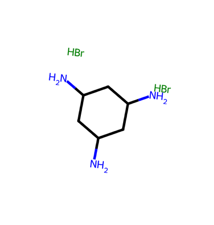 Br.Br.NC1CC(N)CC(N)C1